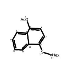 CCCCCCSc1ccc(OC(C)=O)c2ccccc12